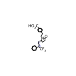 O=C(O)c1ccc(CCN2C(=O)CC[C@@H]2/C=C\C=C(/c2ccccc2)C(F)(F)F)cc1